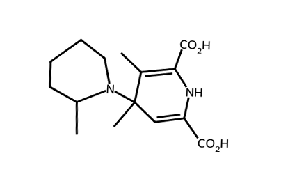 CC1=C(C(=O)O)NC(C(=O)O)=CC1(C)N1CCCCC1C